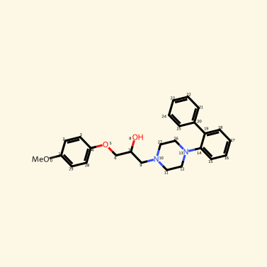 COc1ccc(OCC(O)CN2CCN(c3ccccc3-c3ccccc3)CC2)cc1